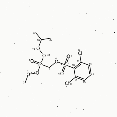 COOP(=O)(COS(=O)(=O)c1c(Cl)cccc1Cl)OOC(C)C